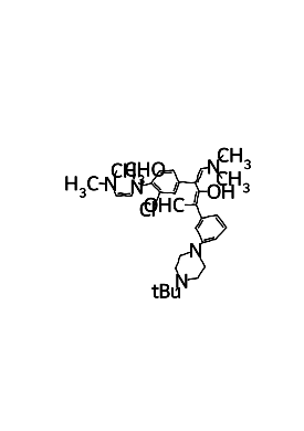 CN(C)/C=C\N(C=O)c1ccc(C(=C/N(C)C)/C(O)=C(\C=O)c2cccc(N3CCN(C(C)(C)C)CC3)c2)cc1Cl